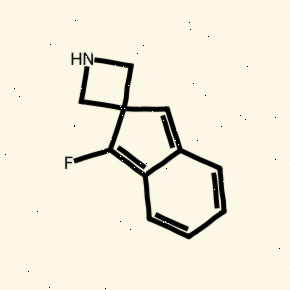 FC1=c2ccccc2=CC12CNC2